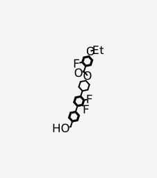 CCOc1ccc(C(=O)OC2CCC(c3ccc(-c4ccc(CO)cc4)c(F)c3F)CC2)c(F)c1